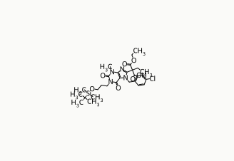 CCOC(=O)C(CC)(C(=O)O)c1nc2c(c(=O)n(CCCO[Si](C)(C)C(C)(C)C)c(=O)n2C)n1Cc1ccc(Cl)cc1